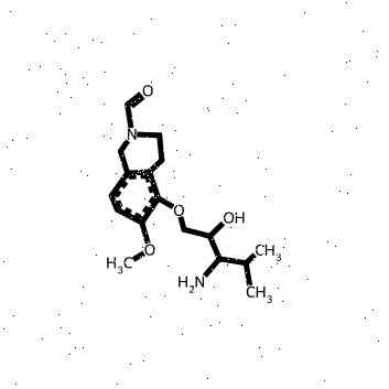 COc1ccc2c(c1OCC(O)C(N)C(C)C)CCN(C=O)C2